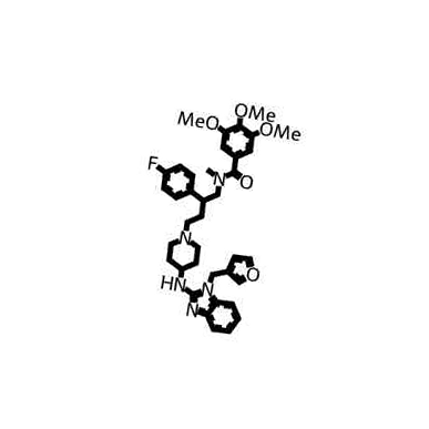 COc1cc(C(=O)N(C)CC(CCN2CCC(Nc3nc4ccccc4n3Cc3ccoc3)CC2)c2ccc(F)cc2)cc(OC)c1OC